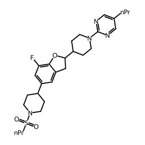 CCCc1cnc(N2CCC(C3Cc4cc(C5CCN(S(=O)(=O)CCC)CC5)cc(F)c4O3)CC2)nc1